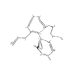 C=CCc1[c]ccc(CCC)c1-c1ccccc1